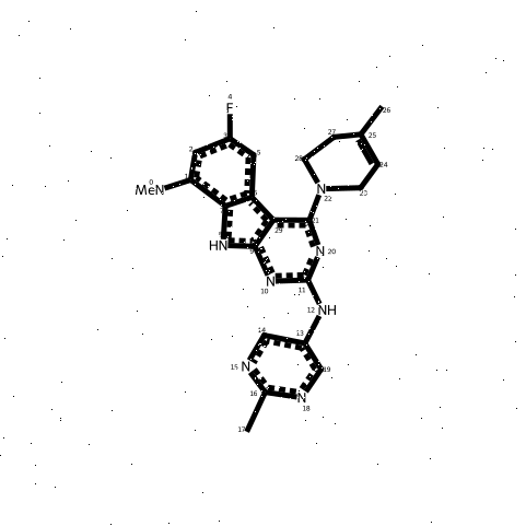 CNc1cc(F)cc2c1[nH]c1nc(Nc3cnc(C)nc3)nc(N3CC=C(C)CC3)c12